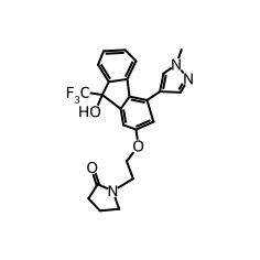 Cn1cc(-c2cc(OCCN3CCCC3=O)cc3c2-c2ccccc2C3(O)C(F)(F)F)cn1